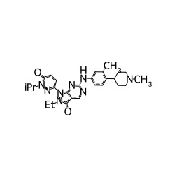 CCn1c(=O)c2cnc(Nc3ccc(C4CCN(C)CC4)c(C)c3)nc2n1-c1ccc(=O)n(C(C)C)n1